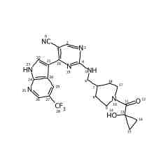 N#Cc1cnc(NCC2CCN(C(=O)C3(O)CC3)CC2)nc1-c1c[nH]c2ncc(C(F)(F)F)cc12